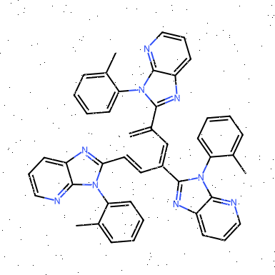 C=C(/C=C(\C=C\c1nc2cccnc2n1-c1ccccc1C)c1nc2cccnc2n1-c1ccccc1C)c1nc2cccnc2n1-c1ccccc1C